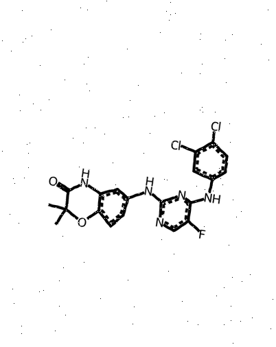 CC1(C)Oc2ccc(Nc3ncc(F)c(Nc4ccc(Cl)c(Cl)c4)n3)cc2NC1=O